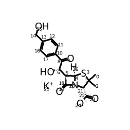 CC1(C)S[C@@H]2[C@H]([C@H](O)C(=O)c3ccc(CO)cc3)C(=O)N2[C@H]1C(=O)[O-].[K+]